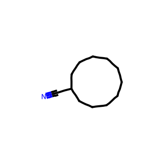 N#CC1CCCCCCCCCC1